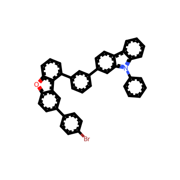 Brc1ccc(-c2ccc3oc4cccc(-c5cccc(-c6ccc7c8ccccc8n(-c8ccccc8)c7c6)c5)c4c3c2)cc1